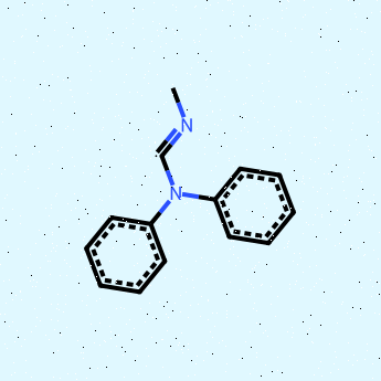 CN=[C]N(c1ccccc1)c1ccccc1